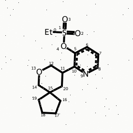 CCS(=O)(=O)Oc1cccnc1C1COCC2(CCCC2)C1